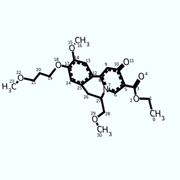 CCOC(=O)c1cn2c(cc1=O)-c1cc(OC)c(OCCCOC)cc1CC2COC